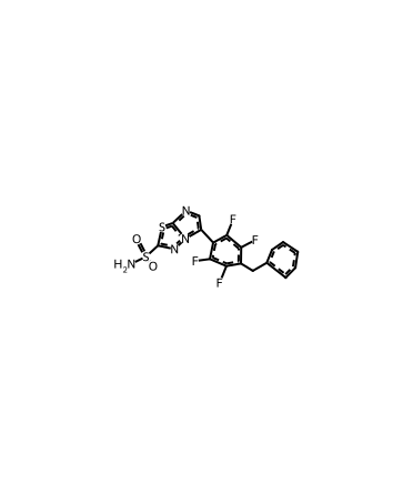 NS(=O)(=O)c1nn2c(-c3c(F)c(F)c(Cc4ccccc4)c(F)c3F)cnc2s1